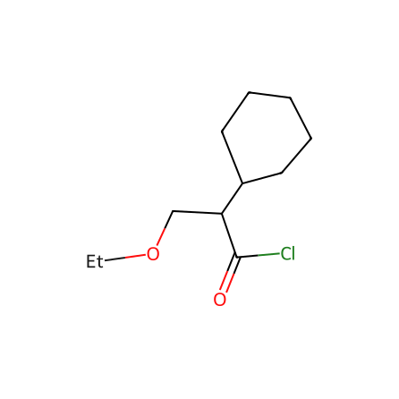 CCOCC(C(=O)Cl)C1CCCCC1